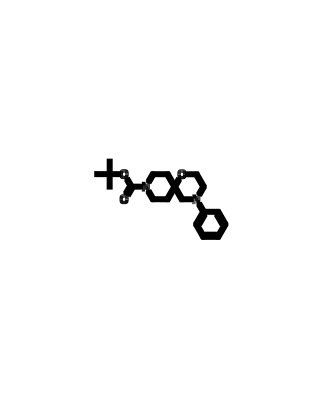 CC(C)(C)OC(=O)N1CCC2(CC1)CN(c1ccccc1)CCO2